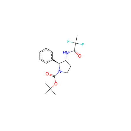 CC(C)(C)OC(=O)N1CC[C@@H](NC(=O)C(C)(F)F)[C@@H]1c1ccccc1